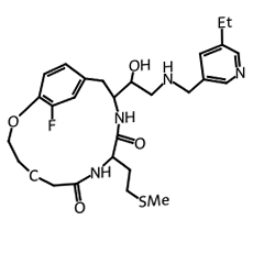 CCc1cncc(CNCC(O)C2Cc3ccc(c(F)c3)OCCCCC(=O)NC(CCSC)C(=O)N2)c1